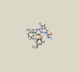 CC1(C(=O)O)C=CCC(C(=O)O)(c2cc(Oc3ccc([N+](=O)[O-])cc3F)ncn2)C1.CN1CC(CNC(N)=O)C1